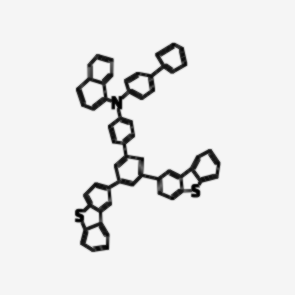 c1ccc(-c2ccc(N(c3ccc(-c4cc(-c5ccc6sc7ccccc7c6c5)cc(-c5ccc6sc7ccccc7c6c5)c4)cc3)c3cccc4ccccc34)cc2)cc1